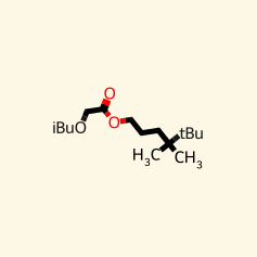 CC(C)COCC(=O)OCCCC(C)(C)C(C)(C)C